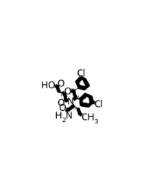 CCC[C@H](C(N)=O)N1C(=O)[C@@H](CC(=O)O)O[C@H](c2cccc(Cl)c2)[C@@H]1c1ccc(Cl)cc1